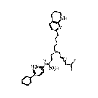 C=C(/C=C\C(=C/C)c1ccccc1)NC(CCN(CCCCc1ccc2c(n1)NCCC2)CCOCC(F)F)C(=O)O